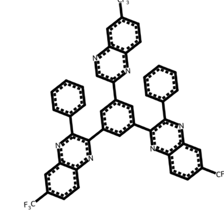 FC(F)(F)c1ccc2nc(-c3cc(-c4nc5ccc(C(F)(F)F)cc5nc4-c4ccccc4)cc(-c4nc5ccc(C(F)(F)F)cc5nc4-c4ccccc4)c3)cnc2c1